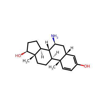 C[C@]12C=CC(O)=C[C@H]1C[C@H](N)[C@@H]1[C@@H]2CC[C@]2(C)[C@@H](O)CC[C@@H]12